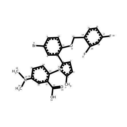 Cc1ccc(-c2cc(Br)ccc2OCc2ccc(F)cc2F)n1-c1ccc(N(C)C)cc1C(=O)O